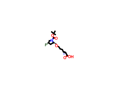 CC(C)(C)OC(=O)N1C[C@@H](F)C[C@H]1COCCC/C=C/C(=O)O